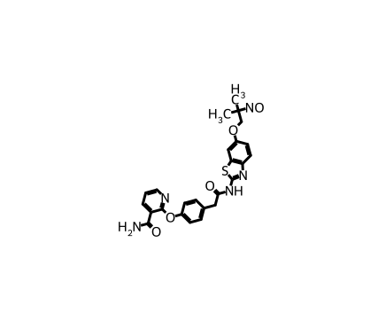 CC(C)(COc1ccc2nc(NC(=O)Cc3ccc(Oc4ncccc4C(N)=O)cc3)sc2c1)N=O